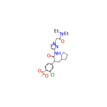 CCN(CC)C(=O)Cn1ccc(NC(=O)C(CC2CCCC2)c2ccc(S(C)(=O)=O)c(Cl)c2)n1